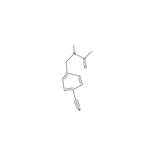 [CH2]C(=O)N(C)Cc1ccc(C#N)cc1